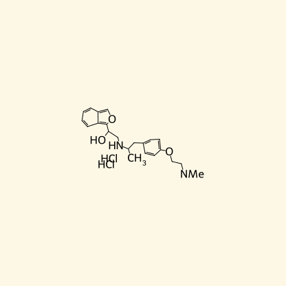 CNCCOc1ccc(CC(C)NCC(O)c2occ3ccccc23)cc1.Cl.Cl